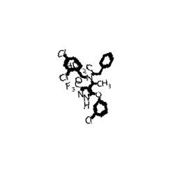 CC(c1c(C(F)(F)F)n[nH]c1Oc1cccc(Cl)c1)N(C(=O)c1ccc(Cl)cc1Cl)[C@@H](Cc1ccccc1)C(=O)O